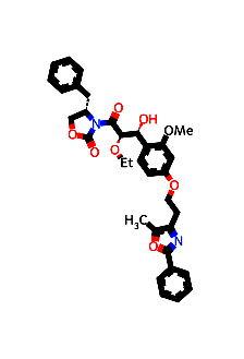 CCO[C@H](C(=O)N1C(=O)OC[C@@H]1Cc1ccccc1)[C@H](O)c1ccc(OCCc2nc(-c3ccccc3)oc2C)cc1OC